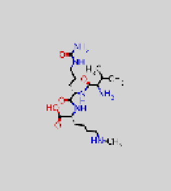 CNCCCC[C@@H](NC(=O)[C@H](CCCNC(N)=O)NC(=O)C(N)C(C)C)C(=O)O